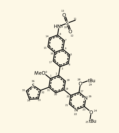 COc1c(-c2ccc3cc(NS(C)(=O)=O)ccc3c2)cc(-c2cnc(OC(C)(C)C)nc2OC(C)(C)C)cc1-c1cccs1